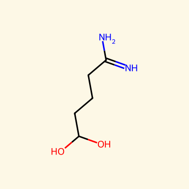 N=C(N)CCCC(O)O